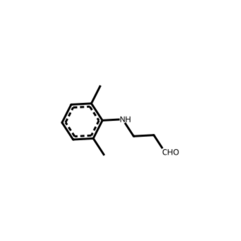 Cc1cccc(C)c1NCCC=O